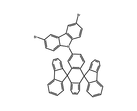 Brc1ccc2c(c1)c1cc(Br)ccc1n2-c1ccc2c(c1)C1(c3ccccc3-c3ccccc31)c1ccccc1C21c2ccccc2-c2ccccc21